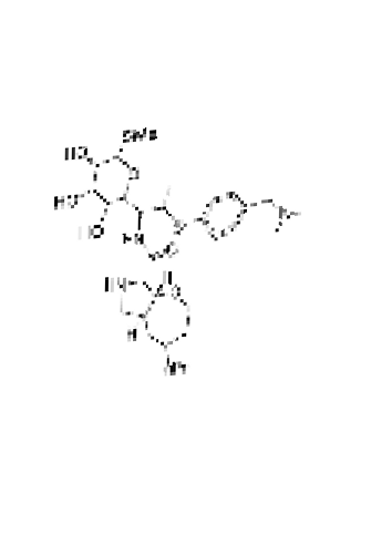 CCC[C@@H]1CCO[C@@H]2[C@H](CN[C@@H]2C(=O)N[C@H]([C@H](C)Sc2ccc(CN(C)C)cc2)[C@H]2OC(SC)[C@H](O)C(O)C2O)C1